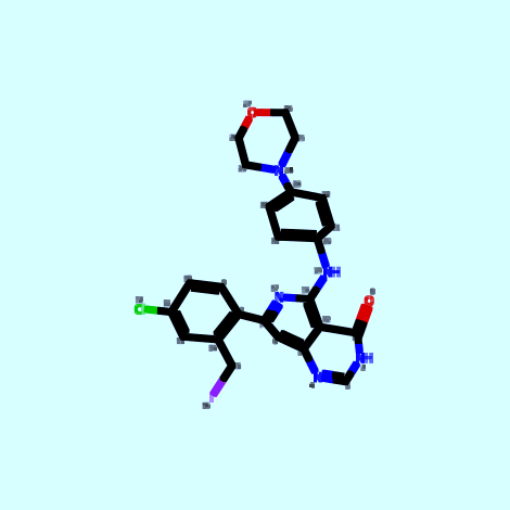 O=c1[nH]cnc2cc(-c3ccc(Cl)cc3CI)nc(Nc3ccc(N4CCOCC4)cc3)c12